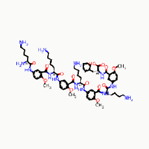 COc1ccc(NC(=O)[C@H](CCCCN)NC(=O)c2cc(NC(=O)[C@H](CCCCCN)NC(=O)c3cc(NC(=O)[C@@H](N)CCCCN)ccc3OC)ccc2OC)cc1C(=O)N[C@@H](CCCCN)C(=O)Nc1ccc(OC)c(C(=O)N[C@H](Cc2ccccc2)C(=O)O)c1